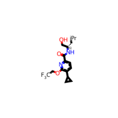 CC(C)C[C@@H](CO)NC(=O)c1ccc(C2CC2)c(OCC(F)(F)F)n1